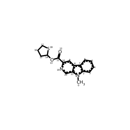 Cn1c2ccccc2c2cc(C(=O)OC3CCCS3)ncc21